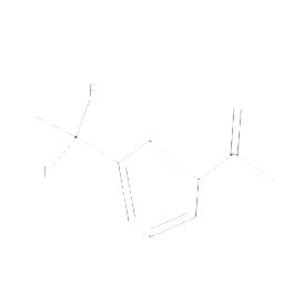 C=C(C)c1cccc(C(C)(F)F)c1